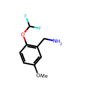 COc1ccc(OC(F)F)c(CN)c1